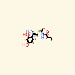 CCCC(=O)NC(C)S/C=C(\N)c1ccc(O)cc1O